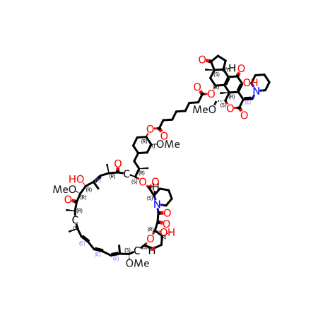 COC[C@H]1OC(=O)/C(=C/N2CCCCC2)C2=C(O)C(=O)C3=C([C@H](OC(=O)CCCCCCC(=O)O[C@@H]4CCC(C[C@@H](C)[C@@H]5CC(=O)[C@H](C)/C=C(\C)[C@@H](O)[C@@H](OC)C(=O)[C@H](C)C[C@H](C)/C=C/C=C/C=C(\C)[C@@H](OC)C[C@@H]6CC[C@@H](C)[C@@](O)(O6)C(=O)C(=O)N6CCCC[C@H]6C(=O)O5)C[C@H]4OC)C[C@]4(C)C(=O)CC[C@@H]34)[C@]21C